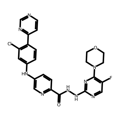 O=C(NNc1ncc(F)c(N2CCOCC2)n1)c1ccc(Nc2ccc(-c3ccncn3)c(Cl)c2)cn1